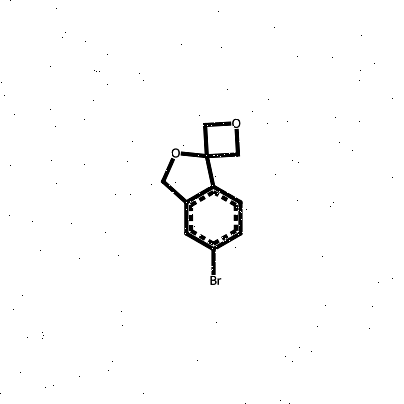 Brc1ccc2c(c1)COC21COC1